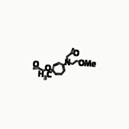 COCCN(CC1CO1)C1=CC=CC(C)(OCC2CO2)C=C1